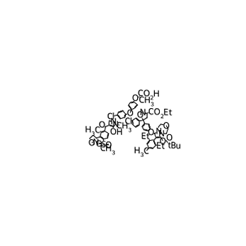 CC(Oc1ccc(Oc2ccc(Cl)cc2Cl)cc1)C(=O)O.CCOC(=O)C1=NOC(c2ccccc2)(c2ccccc2)C1.CCc1cc(C)cc(CC)c1-c1c(OC(=O)C(C)(C)C)n2n(c1=O)CCOCC2.Cc1c(C(=O)c2cnn(C)c2O)ccc(S(C)(=O)=O)c1C1=NOCC1